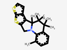 Cc1cccc2c1N1Cc3sc4sccc4c3C1(C)C(C)(C)C2(C)C